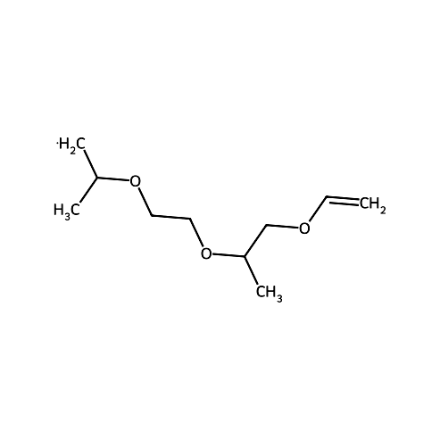 [CH2]C(C)OCCOC(C)COC=C